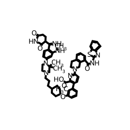 CNc1cc(N2CCN(CCCC3CCC(Oc4cccc(-c5ccc(N6CCc7cccc(C(=O)Nc8nc9ccccc9s8)c7C6)nc5C(=O)O)c4C)CC3)CC2(C)C)ccc1C(=N)C1CCC(=O)NC1=O